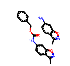 Cc1noc2cc(N)ccc12.Cc1noc2cc(NC(=O)OCc3ccccc3)ccc12